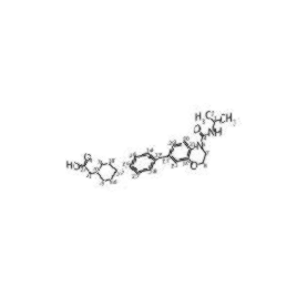 CC(C)NC(=O)N1CCOc2cc(-c3ccc([C@H]4CC[C@H](CC(=O)O)CC4)cc3)ccc21